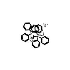 O=C([PH](c1ccccc1)(c1ccccc1)c1ccccc1)P(Cl)(c1ccccc1)(c1ccccc1)c1ccccc1.[Ir]